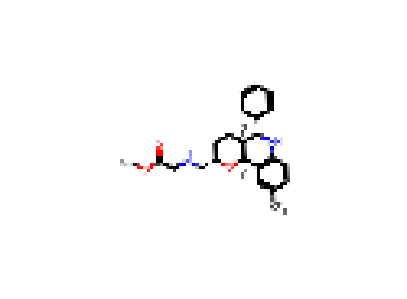 CC(C)(C)OC(=O)CNC[C@H]1CC[C@@H]2[C@H](O1)c1cc(C(F)(F)F)ccc1N[C@H]2C1C=CC=CC1